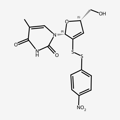 Cc1cn([C@@H]2O[C@H](CO)C=C2SSc2ccc([N+](=O)[O-])cc2)c(=O)[nH]c1=O